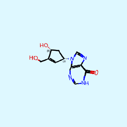 O=c1[nH]cnc2c1ncn2[C@@H]1C=C(CO)[C@H](O)C1